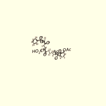 CC(=O)Oc1cccc(C(=O)NCCCCC(=O)N(CCC(=O)N(C)OC(=O)c2ccccc2)C(=O)O)c1OC(C)=O